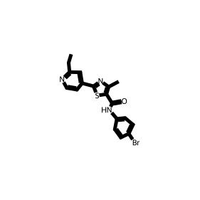 CCc1cc(-c2nc(C)c(C(=O)Nc3ccc(Br)cc3)s2)ccn1